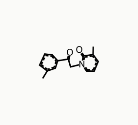 Cc1cccc(C(=O)Cn2cccc(C)c2=O)c1